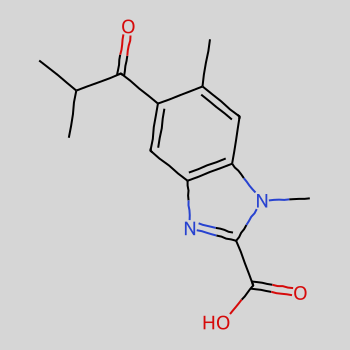 Cc1cc2c(cc1C(=O)C(C)C)nc(C(=O)O)n2C